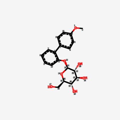 COc1ccc(-c2ccccc2O[C@@H]2O[C@H](CO)[C@@H](O)[C@H](O)[C@H]2O)cc1